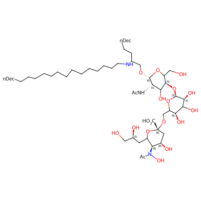 CCCCCCCCCCCCCCCCCCCCCCCCNC(CCCCCCCCCCCC)CO[C@@H]1OC(CO)[C@@H](O[C@@H]2OC(CO[C@]3(C(=O)O)C[C@@H](O)[C@@H](N(O)C(C)=O)C(C[C@H](O)CO)O3)[C@H](O)C(O)[C@@H]2O)C(O)[C@@H]1NC(C)=O